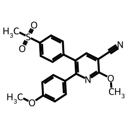 COc1ccc(-c2nc(OC)c(C#N)cc2-c2ccc(S(C)(=O)=O)cc2)cc1